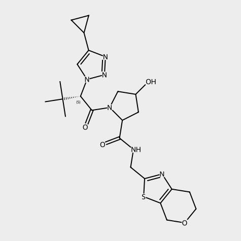 CC(C)(C)[C@@H](C(=O)N1CC(O)CC1C(=O)NCc1nc2c(s1)COCC2)n1cc(C2CC2)nn1